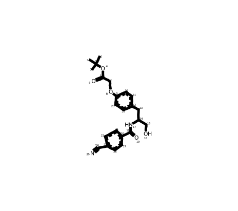 CC(C)(C)OC(=O)COc1ccc(CC(CO)NC(=O)c2ccc(C#N)cc2)cc1